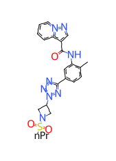 CCCS(=O)(=O)N1CC(n2nnc(-c3ccc(C)c(NC(=O)c4cnn5ccccc45)c3)n2)C1